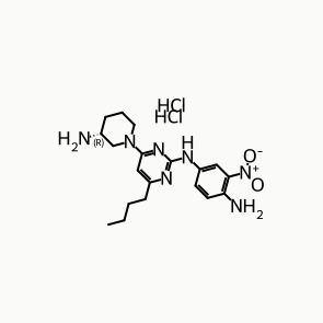 CCCCc1cc(N2CCC[C@@H](N)C2)nc(Nc2ccc(N)c([N+](=O)[O-])c2)n1.Cl.Cl